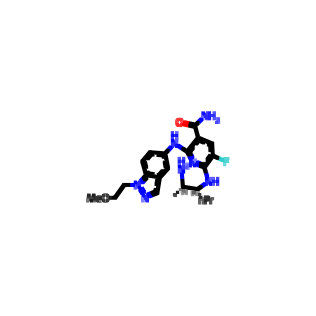 CCC[C@@H](Nc1nc(Nc2ccc3c(cnn3CCOC)c2)c(C(N)=O)cc1F)[C@H](C)N